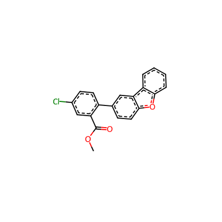 COC(=O)c1cc(Cl)ccc1-c1ccc2oc3ccccc3c2c1